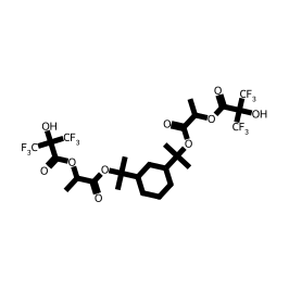 CC(OC(=O)C(O)(C(F)(F)F)C(F)(F)F)C(=O)OC(C)(C)C1CCCC(C(C)(C)OC(=O)C(C)OC(=O)C(O)(C(F)(F)F)C(F)(F)F)C1